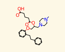 CN1CCN(CC(COc2ccccc2CCc2ccccc2)OC(=O)CCCC(=O)O)CC1